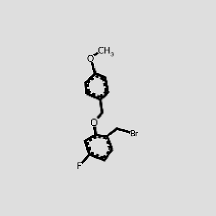 COc1ccc(COc2cc(F)ccc2CBr)cc1